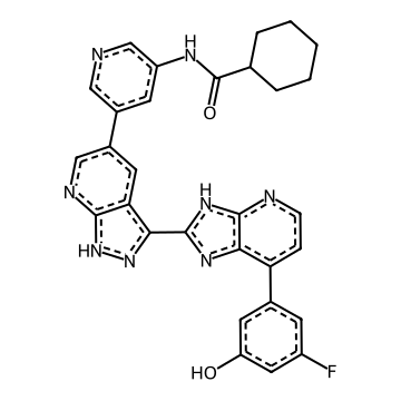 O=C(Nc1cncc(-c2cnc3[nH]nc(-c4nc5c(-c6cc(O)cc(F)c6)ccnc5[nH]4)c3c2)c1)C1CCCCC1